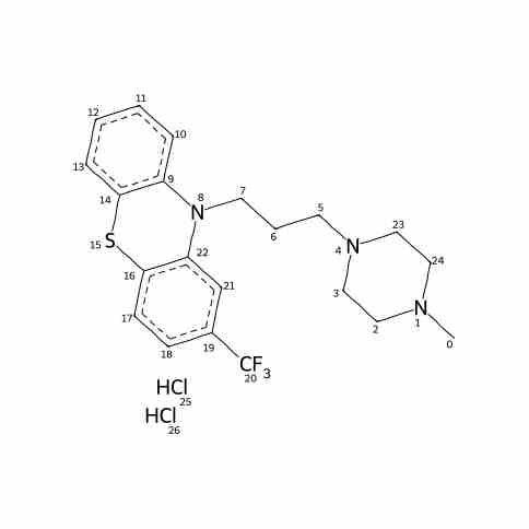 CN1CCN(CCCN2c3ccccc3Sc3ccc(C(F)(F)F)cc32)CC1.Cl.Cl